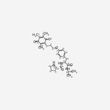 CC1=C(C)C(=O)C(CCCOc2ccc(CC(NC(=O)[C@@H]3CCCN3)C(=O)NC(C)C)cc2)=C(C)C1=O